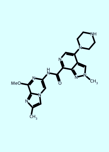 COc1nc(NC(=O)c2ncc(N3CCNCC3)c3cn(C)nc23)cn2cc(C)nc12